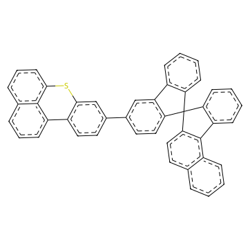 c1ccc2c(c1)-c1cc(-c3ccc4c(c3)Sc3cccc5cccc-4c35)ccc1C21c2ccccc2-c2c1ccc1ccccc21